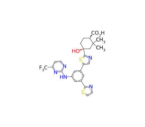 CC1(C)C[C@](O)(c2ncc(-c3cc(Nc4nccc(C(F)(F)F)n4)cc(-c4nccs4)c3)s2)CC[C@H]1C(=O)O